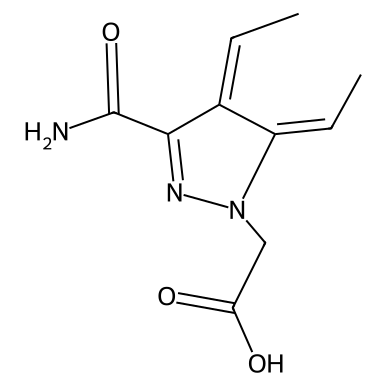 C/C=c1/c(C(N)=O)nn(CC(=O)O)/c1=C/C